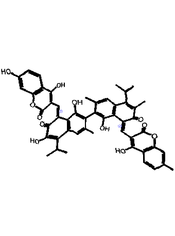 CC1=C(C(C)C)c2cc(C)c(-c3c(C)cc4c(c3O)/C(=C/c3c(O)c5ccc(O)cc5oc3=O)C(=O)C(O)=C4C(C)C)c(O)c2/C(=C/c2c(O)c3ccc(C)cc3oc2=O)C1=O